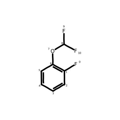 Fc1[c]cccc1OC(F)F